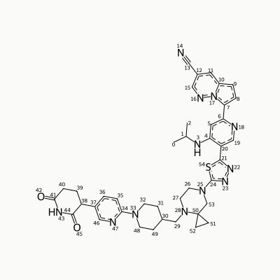 CC(C)Nc1cc(-c2ccc3cc(C#N)cnn23)ncc1-c1nnc(N2CCN(CC3CCN(c4ccc(C5CCC(=O)NC5=O)cn4)CC3)C3(CC3)C2)s1